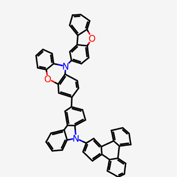 c1ccc2c(c1)Oc1cc(-c3ccc4c(c3)c3ccccc3n4-c3ccc4c5ccccc5c5ccccc5c4c3)ccc1N2c1ccc2oc3ccccc3c2c1